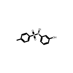 CCN(c1cccc(O)c1)S(=O)(=O)c1ccc(C)cc1